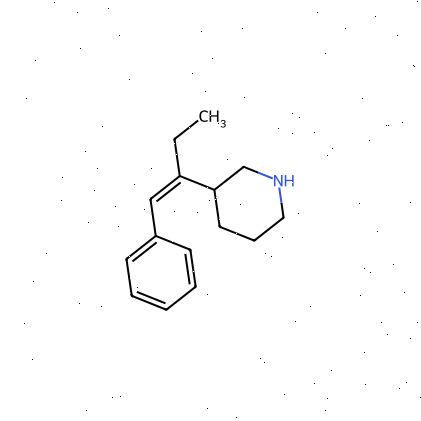 CCC(=Cc1ccccc1)C1CCCNC1